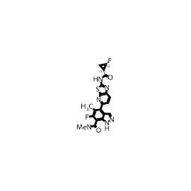 CNC(=O)c1c(F)c(C)c(-c2ccc3nc(NC(=O)[C@@H]4C[C@@H]4F)sc3n2)c2cn[nH]c12